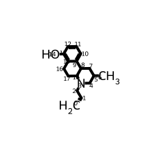 C=CCN1CC(C)CC2c3cccc(O)c3CCC21